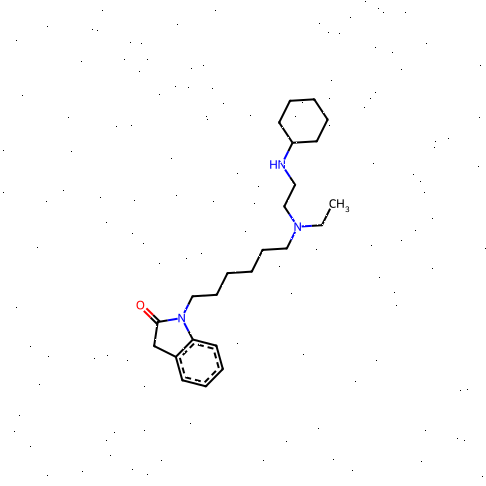 CCN(CCCCCCN1C(=O)Cc2ccccc21)CCNC1CCCCC1